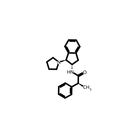 C[C@H](C(=O)N[C@H]1Cc2ccccc2[C@@H]1N1CCCC1)c1ccccc1